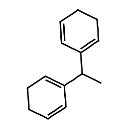 CC(C1=CCCC=C1)C1=CCCC=C1